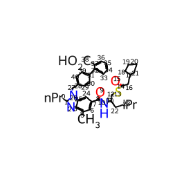 CCCc1nc2c(C)cc(C(=O)N[C@@H](CSC(=O)CC3CCCC3)CC(C)C)cc2n1Cc1ccc(-c2ccccc2C(=O)O)cc1